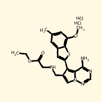 CCOC(=O)CNCc1cn2ncnc(N)c2c1-c1cc2cc(C)cc(OC)c2s1.Cl.Cl